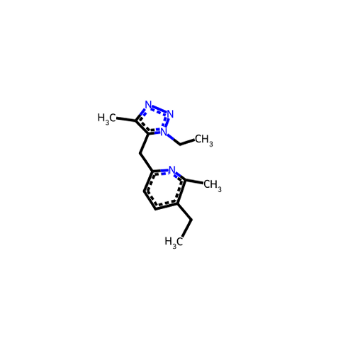 CCc1ccc(Cc2c(C)nnn2CC)nc1C